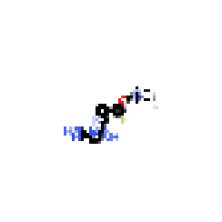 CN(C)CCOc1cc(F)cc(-c2cccc3[nH]c(-c4n[nH]c5ccc(-c6cn[nH]c6)nc45)cc23)c1